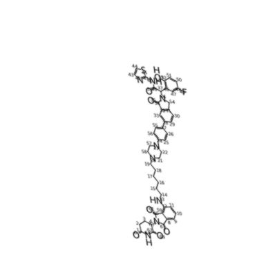 O=C1CC[C@H](N2C(=O)c3cccc(NCCCCCCN4CCN(c5ccc(-c6ccc7c(c6)C(=O)N(C(C(=O)Nc6nccs6)c6cc(F)ccc6O)C7)cc5)CC4)c3C2=O)C(=O)N1